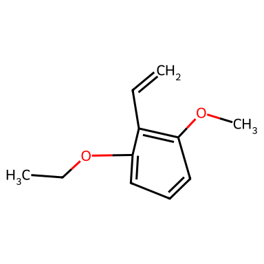 C=Cc1c(OC)cccc1OCC